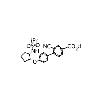 CC(C)S(=O)(=O)N[C@H]1CCC[C@H]1Oc1ccc(-c2ccc(C(=O)O)cc2C#N)cc1